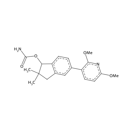 COc1ccc(-c2ccc3c(c2)CC(C)(C)C3OC(N)=O)c(OC)n1